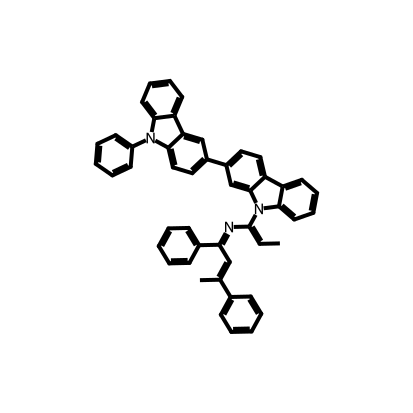 C/C=C(/N=C(\C=C(/C)c1ccccc1)c1ccccc1)n1c2ccccc2c2ccc(-c3ccc4c(c3)c3ccccc3n4-c3ccccc3)cc21